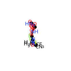 CC1(C)C(=O)N(c2ccc(C#N)c(C(F)(F)F)c2F)C(=S)N1c1cnc(-c2ccc(OCCNC(=O)COc3cccc4c3C(=O)N(C3CCC(=O)NC3=O)C4=O)c(F)c2)c(F)c1